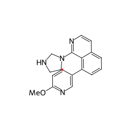 COc1ccc(-c2cccc3ccnc(N4CCNC4)c23)cn1